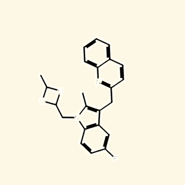 Cc1c(Cc2ccc3ccccc3n2)c2cc(F)ccc2n1CC1OC(C)O1